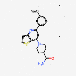 COc1cccc(-c2cc(N3CCC(C(N)=O)CC3)c3sccc3n2)c1